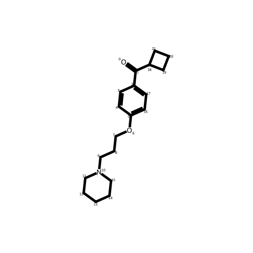 O=C(c1ccc(OCCCN2CCCCC2)cc1)C1CCC1